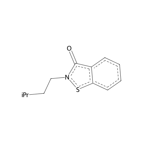 CC(C)CCn1sc2ccccc2c1=O